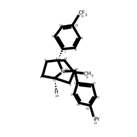 CC1C[C@H]2CC[C@@](c3ccc(C(F)(F)F)cc3)(C1)N2Cc1ccc(C(C)C)cc1